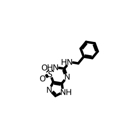 O=S1(=O)NC(NCc2ccccc2)=Nc2[nH]cnc21